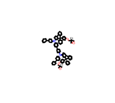 CCC1(COc2ccc(C3(c4ccccc4)c4ccccc4-c4ccc(N(c5ccc(-c6ccccc6)cc5)c5ccc(-c6ccc(N(c7ccc(-c8ccccc8)cc7)c7ccc8c(c7)[C@@](c7ccccc7)(c7ccc(OCC9(CC)COC9)cc7)c7ccccc7-8)cc6)cc5)cc43)cc2)COC1